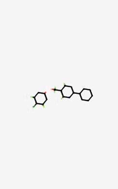 FC1CC(OC(F)(F)C2C(F)CC(C3CCCCC3)CC2F)CC(F)C1Cl